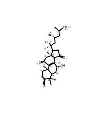 CC(C[C@@H](O)C[C@](C)(O)C1CC(=O)[C@@]2(C)C3=C(C(=O)C[C@]12C)[C@@]1(C)CCC(=O)C(C)(C)C1C[C@@H]3O)C(=O)O